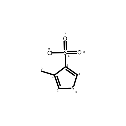 Cc1cscc1S(=O)(=O)Cl